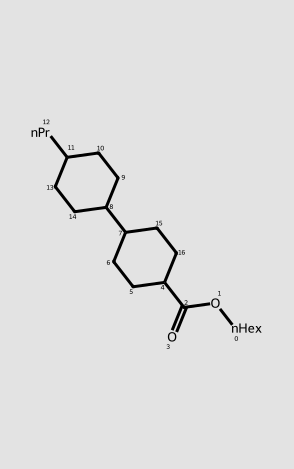 CCCCCCOC(=O)C1CCC(C2CCC(CCC)CC2)CC1